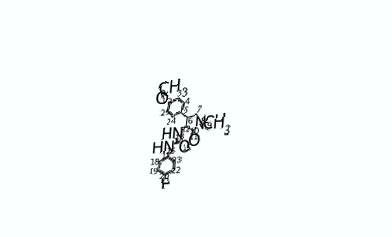 COc1ccc(C2CN(C)C(=O)C2NC(=O)Nc2ccc(F)cc2)cc1